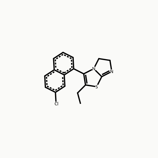 CCC1=C(c2cccc3ccc(Cl)cc23)N2CCN=C2S1